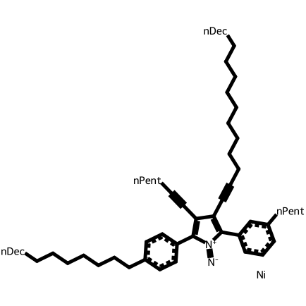 CCCCCC#CC1=C(c2ccc(CCCCCCCCCCCCCCCCC)cc2)[N+](=[N-])C(c2cccc(CCCCC)c2)=C1C#CCCCCCCCCCCCCCCCCCCC.[Ni]